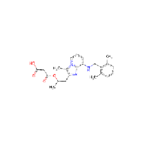 Cc1cccc(C)c1CNc1cccn2c(C)c(CC(C)OC(=O)CC(=O)O)nc12